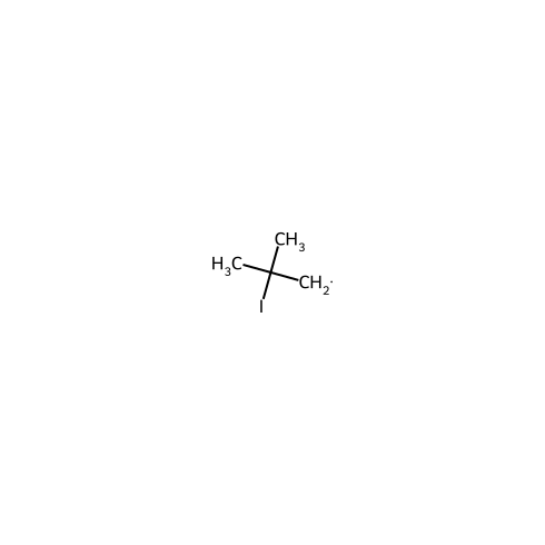 [CH2]C(C)(C)I